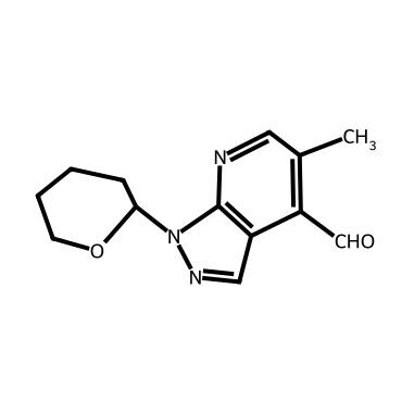 Cc1cnc2c(cnn2C2CCCCO2)c1C=O